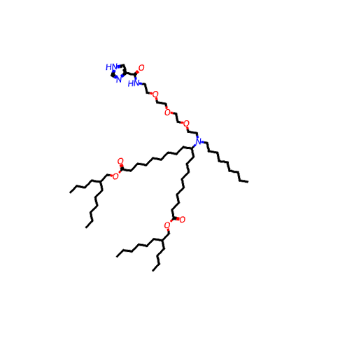 CCCCCCCCCN(CCOCCOCCOCCNC(=O)c1c[nH]cn1)C(CCCCCCCCC(=O)OCC(CCCC)CCCCCC)CCCCCCCCC(=O)OCC(CCCC)CCCCCC